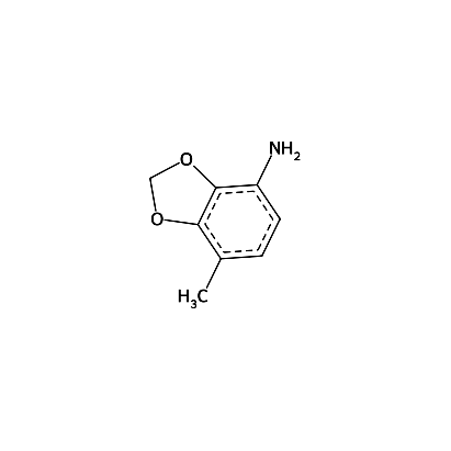 Cc1ccc(N)c2c1OCO2